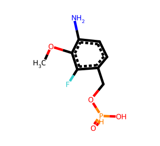 COc1c(N)ccc(CO[PH](=O)O)c1F